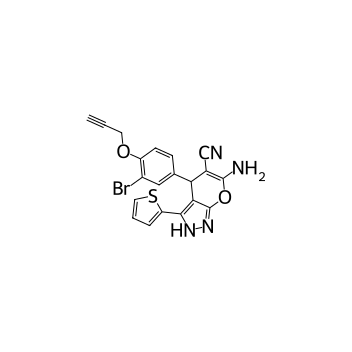 C#CCOc1ccc(C2C(C#N)=C(N)Oc3n[nH]c(-c4cccs4)c32)cc1Br